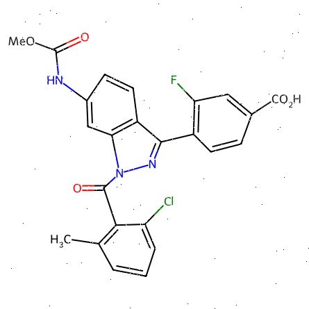 COC(=O)Nc1ccc2c(-c3ccc(C(=O)O)cc3F)nn(C(=O)c3c(C)cccc3Cl)c2c1